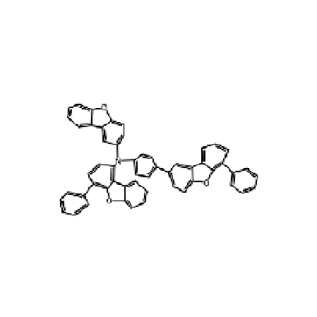 c1ccc(-c2cccc3c2oc2ccc(-c4ccc(N(c5ccc6oc7ccccc7c6c5)c5ccc(-c6ccccc6)c6oc7ccccc7c56)cc4)cc23)cc1